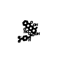 CC1CC(O)(OC(=O)Nc2ccc([N+](=O)[O-])cc2)CC2C1=C(O)C1C(=O)c3ccccc3C(=O)C1C2O